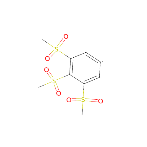 CS(=O)(=O)c1c[c]cc(S(C)(=O)=O)c1S(C)(=O)=O